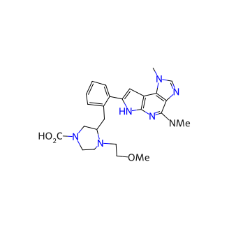 CNc1nc2[nH]c(-c3ccccc3CC3CN(C(=O)O)CCN3CCOC)cc2c2c1ncn2C